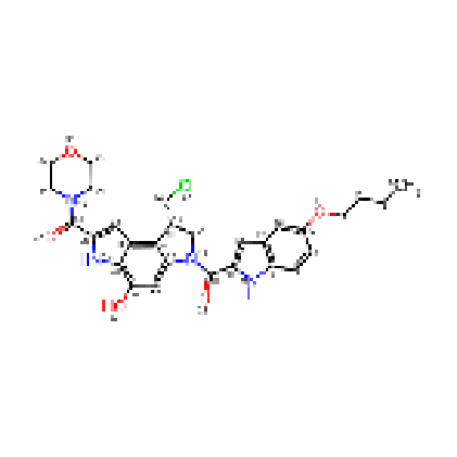 CCCCOc1ccc2[nH]c(C(=O)N3C[C@@H](CCl)c4c3cc(O)c3[nH]c(C(=O)N5CCOCC5)cc43)cc2c1